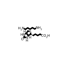 NCCCCCN.O=C(O)CCCC[C@@H]1SC[C@@H]2NC(=O)N[C@@H]21